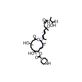 CCC(O)C(C)[C@H]1O[C@@H]1CC(C)(O)/C=C/C=C(\C)[C@H]1OC(=O)C[C@H](O)CC[C@@](C)(O)[C@@H](OC(=O)N2CCNCC2)/C=C/[C@@H]1C